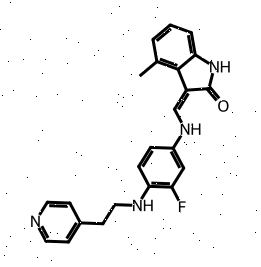 Cc1cccc2c1C(=CNc1ccc(NCCc3ccncc3)c(F)c1)C(=O)N2